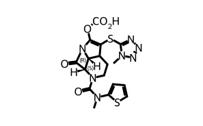 CN(C(=O)N1CCC2C(Sc3nnnn3C)=C(OC(=O)O)N3C(=O)[C@@H]1[C@@H]23)c1cccs1